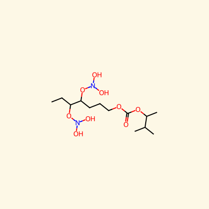 CCC(ON(O)O)C(CCCOC(=O)OC(C)C(C)C)ON(O)O